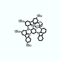 CC(C)(C)c1ccc2c(c1)c1cc(C(C)(C)C)cc3c1n2-c1cc(-n2c4ccccc4c4cccc(C56CC7CC(CC(C7)C5)C6)c42)cc2c1B3c1cc(C(C)(C)C)cc3c4cc(C(C)(C)C)ccc4n-2c13